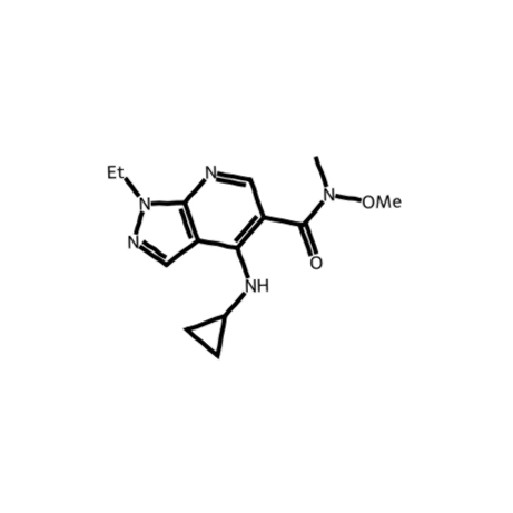 CCn1ncc2c(NC3CC3)c(C(=O)N(C)OC)cnc21